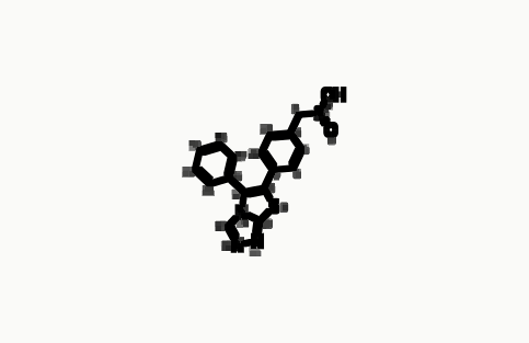 O=S(O)Cc1ccc(-c2sc3nncn3c2-c2ccccc2)cc1